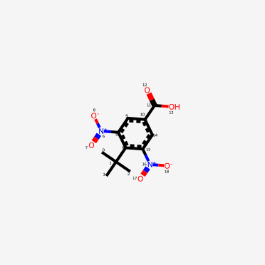 CC(C)(C)c1c([N+](=O)[O-])cc(C(=O)O)cc1[N+](=O)[O-]